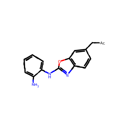 CC(=O)Cc1ccc2nc(Nc3ccccc3N)oc2c1